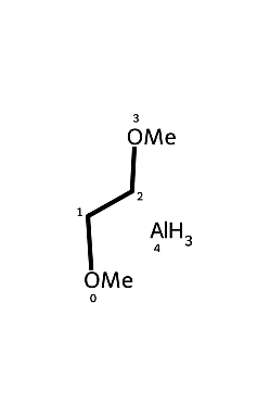 COCCOC.[AlH3]